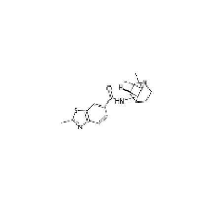 Cc1nc2ccc(C(=O)N[C@H]3C4CCN(CC4)C3(C)C)cc2s1